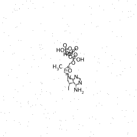 C[C@H]1C[C@H](n2cc(I)c3c(N)ncnc32)O[C@@H]1COP(=O)(O)OP(=O)(O)OP(=O)(O)O